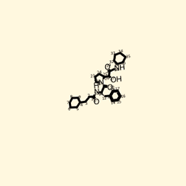 O=C(CCC1CCCCC1)N[C@@H](Cc1ccccc1)C(=O)N1CCCC1C(O)C(=O)NC1CCCCC1